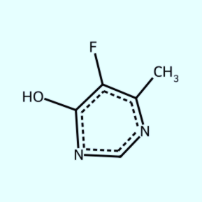 Cc1ncnc(O)c1F